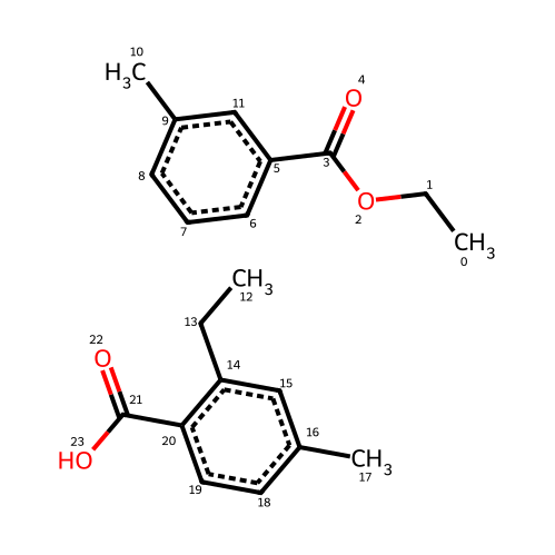 CCOC(=O)c1cccc(C)c1.CCc1cc(C)ccc1C(=O)O